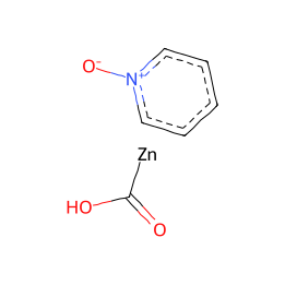 O=[C](O)[Zn].[O-][n+]1ccccc1